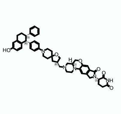 O=C1CC[C@H](N2Cc3cc4c(cc3C2=O)OC[C@@H]2CN(C[C@@H]3COC5(CCN(c6ccc([C@@H]7c8ccc(O)cc8CC[C@@H]7c7ccccc7)cc6)CC5)C3)CCN42)C(=O)N1